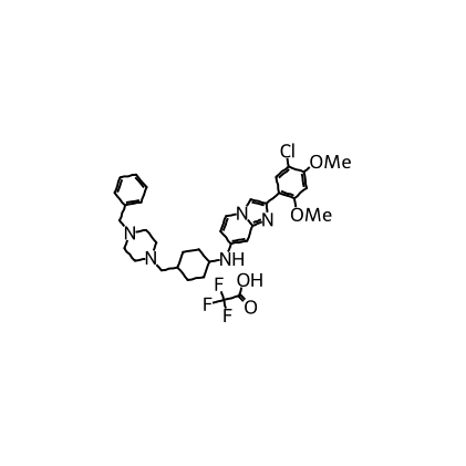 COc1cc(OC)c(-c2cn3ccc(NC4CCC(CN5CCN(Cc6ccccc6)CC5)CC4)cc3n2)cc1Cl.O=C(O)C(F)(F)F